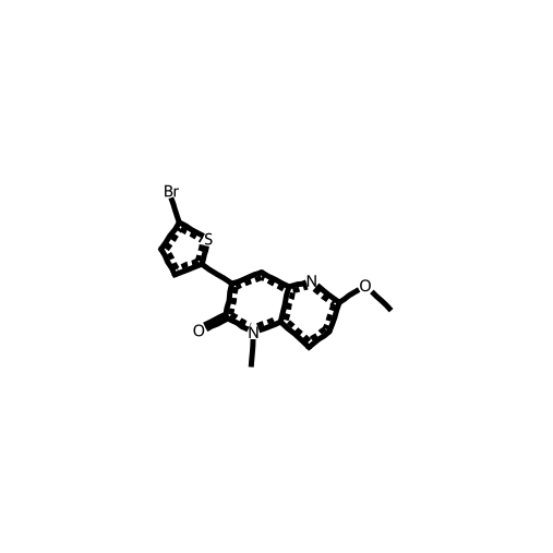 COc1ccc2c(cc(-c3ccc(Br)s3)c(=O)n2C)n1